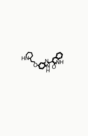 O=c1[nH]c2ccccc2cc1-c1nc2cc(OCCC3CCCCN3)ccc2[nH]1